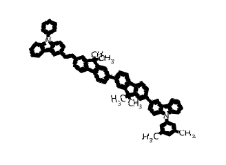 Cc1cc(C)cc(-n2c3ccccc3c3cc(-c4ccc5c(c4)C(C)(C)c4cc(-c6ccc7c(c6)C(C)(C)c6cc(/C=C/c8ccc9c(c8)c8ccccc8n9-c8ccccc8)ccc6-7)ccc4-5)ccc32)c1